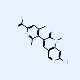 CCC(=O)c1cc(C)c(-c2cc3cnc(Cl)cc3n(C)c2=O)c(C)n1